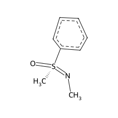 CN=[S@@](C)(=O)c1ccccc1